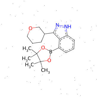 CC1(C)OB(c2cccc3[nH]nc(C4CCCOC4)c23)OC1(C)C